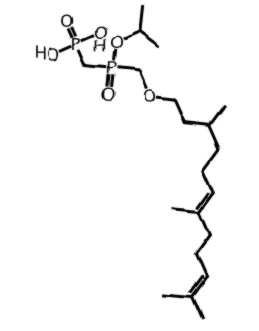 CC(C)=CCC/C(C)=C/CCC(C)CCOCP(=O)(CP(=O)(O)O)OC(C)C